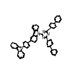 c1ccc(-c2ccc(-c3nc(-c4ccc(-c5ccccc5)cc4)nc(-n4c5ccccc5c5cc(-c6ccc(-n7c8ccccc8c8ccccc87)cc6)ccc54)n3)cc2)cc1